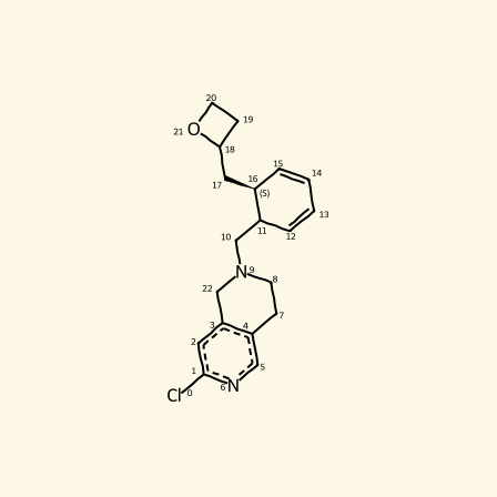 Clc1cc2c(cn1)CCN(CC1C=CC=C[C@@H]1CC1CCO1)C2